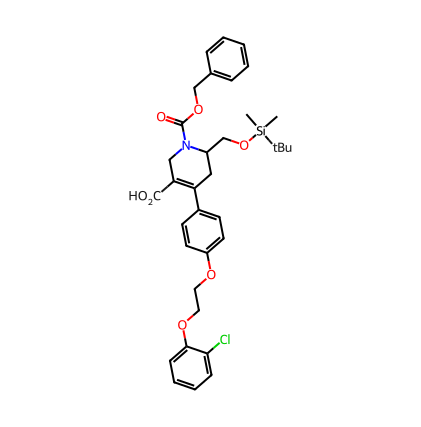 CC(C)(C)[Si](C)(C)OCC1CC(c2ccc(OCCOc3ccccc3Cl)cc2)=C(C(=O)O)CN1C(=O)OCc1ccccc1